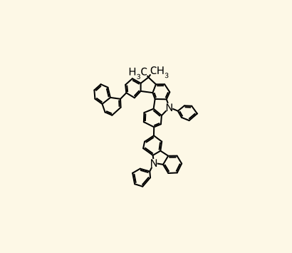 CC1(C)c2ccc(-c3cccc4ccccc34)cc2-c2c1ccc1c2c2ccc(-c3ccc4c(c3)c3ccccc3n4-c3ccccc3)cc2n1-c1ccccc1